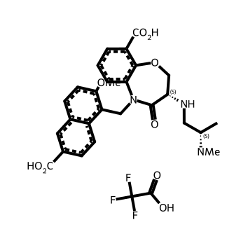 CN[C@@H](C)CN[C@H]1COc2c(C(=O)O)cccc2N(Cc2c(OC)ccc3cc(C(=O)O)ccc23)C1=O.O=C(O)C(F)(F)F